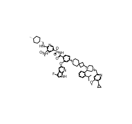 COc1cc(CN2CCN(C3CC4(CCN(c5ccc(C(=O)NS(=O)(=O)c6cnc(NC[C@H]7CC[C@@H](C)CC7)c([NH+](C)[O-])c6)c(Oc6cnc7[nH]cc(F)c7c6)c5)CC4)C3)C(c3ccccc3C(C)C)C2)ncc1C1CC1